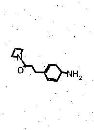 NC1C=CC(CCC(=O)N2CCC2)=CC1